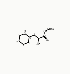 CC(C)(C)OC(=O)C(Br)CC1CCCCO1